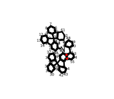 C1=CC(C2(c3ccccc3)c3ccccc3-c3ccc(N(c4ccc5c(c4)C(c4ccccc4)(c4ccccc4)c4ccccc4-5)c4ccccc4-c4ccccc4)cc32)=CCC1